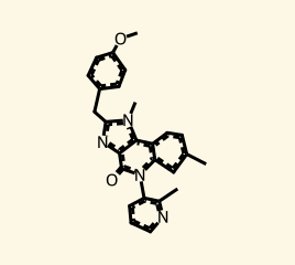 COc1ccc(Cc2nc3c(=O)n(-c4cccnc4C)c4cc(C)ccc4c3n2C)cc1